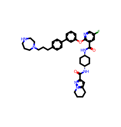 O=C(N[C@H]1CC[C@H](NC(=O)c2cc(F)cnc2Oc2cccc(-c3ccc(CCCN4CCCNCC4)cc3)c2)CC1)c1cc2n(n1)CCCC2